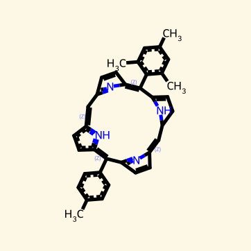 Cc1ccc(/C2=c3\cc/c([nH]3)=C/C3=NC(=C(/c4c(C)cc(C)cc4C)C4=CCC(/C=C5/C=CC2=N5)N4)/C=C3)cc1